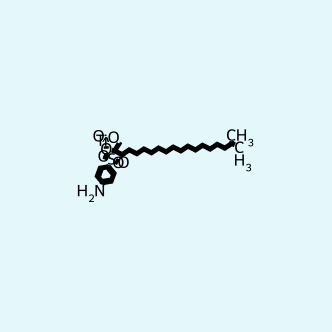 CC(C)CCCCCCCCCCCCCCC(=O)C1(S(=O)(=O)c2ccc(N)cc2)C[O][Ti](=[O])[O]1